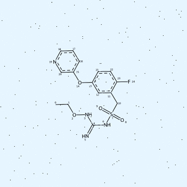 CCONC(=N)NS(=O)(=O)Cc1cc(Oc2cccnc2)ccc1F